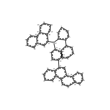 c1ccc(-c2ccccc2N(c2ccc(-c3cc4c5ccccc5ccc4c4ccccc34)cc2)c2cc3ccccc3c3ccccc23)cc1